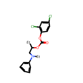 CCC(CN(CC)c1ccccc1)OC(=O)Oc1ccc(Cl)cc1Cl